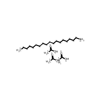 CC(=O)O.CC(=O)O.CC(=O)O.CCCCCCCCCCCCCCCCCCN